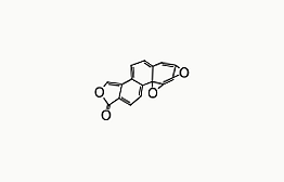 O=C1OC=c2c1ccc1c2=CC=C2C=C3OC3=C3OC231